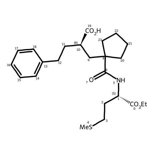 CCOC(=O)[C@H](CCSC)NC(=O)C1(C[C@@H](CCc2ccccc2)C(=O)O)CCCC1